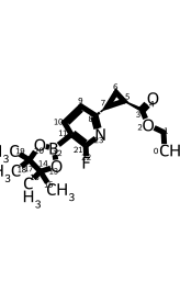 CCOC(=O)[C@@H]1C[C@H]1c1ccc(B2OC(C)(C)C(C)(C)O2)c(F)n1